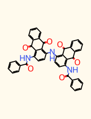 O=C(Nc1ccc(Nc2ccc(NC(=O)c3ccccc3)c3c2C(=O)c2ccccc2C3=O)c2c1C(=O)c1ccccc1C2=O)c1ccccc1